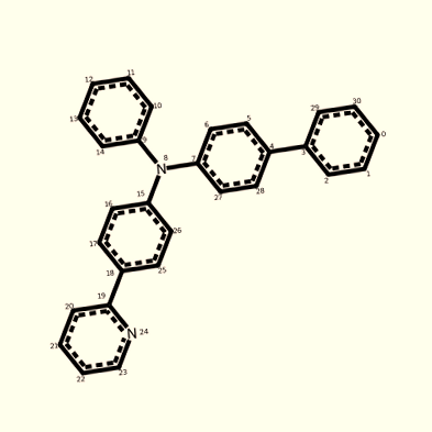 c1ccc(-c2ccc(N(c3ccccc3)c3ccc(-c4ccccn4)cc3)cc2)cc1